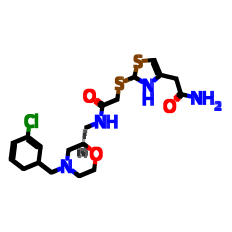 NC(=O)CC1=CSC(SCC(=O)NC[C@H]2CN(CC3C=C(Cl)C=CC3)CCO2)N1